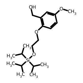 COc1ccc(OCCO[Si](C(C)C)(C(C)C)C(C)C)c(CO)c1